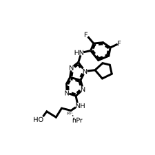 CCC[C@H](CCCO)Nc1ncc2nc(Nc3ccc(F)cc3F)n(C3CCCC3)c2n1